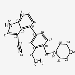 CCc1cc(-c2ccnc3[nH]cc(C#N)c23)ccc1CN1CCOCC1